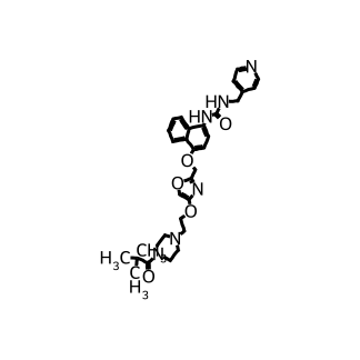 CC(C)(C)C(=O)N1CCN(CCOc2coc(COc3ccc(NC(=O)NCc4ccncc4)c4ccccc34)n2)CC1